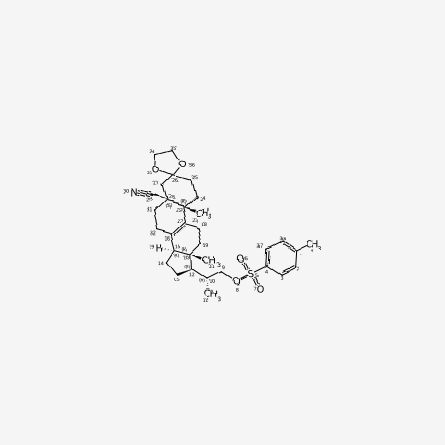 Cc1ccc(S(=O)(=O)OC[C@H](C)[C@H]2CC[C@H]3C4=C(CC[C@]23C)[C@@]2(C)CCC3(C[C@@]2(C#N)CC4)OCCO3)cc1